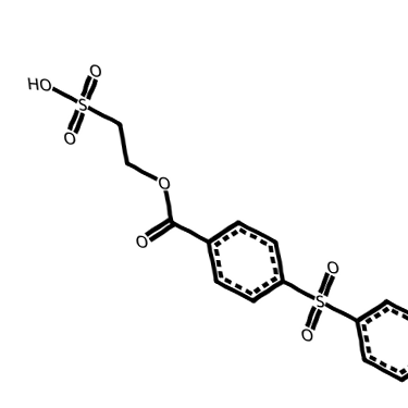 O=C(OCCS(=O)(=O)O)c1ccc(S(=O)(=O)c2ccccc2)cc1